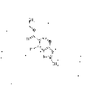 CCOC(=O)c1cnc2cn(C)nc2c1Cl